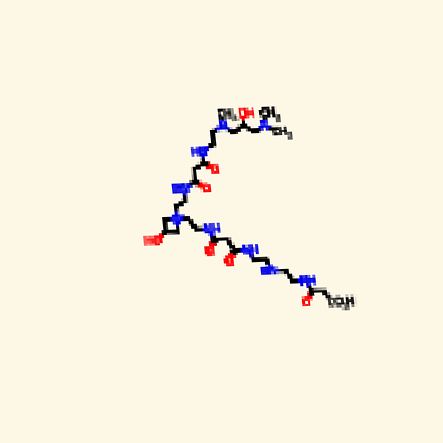 CN(C)CC(O)CN(C)CCNC(=O)CC(=O)NCC[N+]1(CCNC(=O)CC(=O)NCCNCCNC(=O)CC(=O)O)CC(O)C1